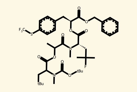 CC(OC(=O)C(CC(C)(C)C)N(C)C(=O)OC(C)(C)C)C(=O)N(C)[C@@H](CC(C)(C)F)C(=O)O[C@@H](Cc1ccc(SC(F)(F)F)cc1)C(=O)OCc1ccccc1